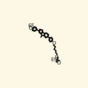 CCC1(COCCCCCCOc2ccc(-c3ccc4c(c3)C(C)c3cc(-c5ccc(OC(F)(F)F)cc5)ccc3-4)cc2)COC1